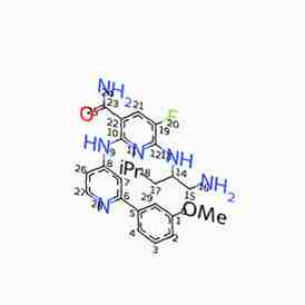 COc1cccc(-c2cc(Nc3nc(NC(CN)CC(C)C)c(F)cc3C(N)=O)ccn2)c1